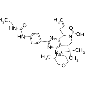 C=CCC1c2nc(-c3ccc(NC(=O)NCC)cc3)nc(N3CCOC[C@@H]3C)c2[C@@H](C(C)(C)C)CN1C(=O)O